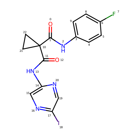 O=C(Nc1ccc(F)cc1)C1(C(=O)Nc2cnc(I)cn2)CC1